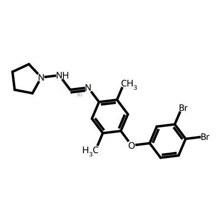 Cc1cc(Oc2ccc(Br)c(Br)c2)c(C)cc1/N=C/NN1CCCC1